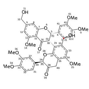 COc1ccc([C@H]2Oc3cc(CO)cc(OC)c3C(=O)[C@H]2c2c(CO)cc(OC)c3c2O[C@H](c2ccc(OC)c(OC)c2)C(=O)C3)cc1OC